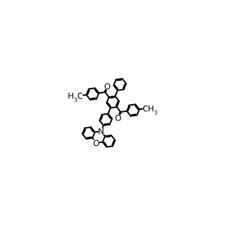 Cc1ccc(C(=O)c2cc(-c3ccc(N4c5ccccc5Oc5ccccc54)cc3)c(C(=O)c3ccc(C)cc3)cc2-c2ccccc2)cc1